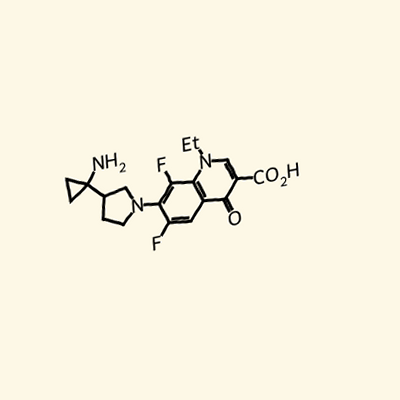 CCn1cc(C(=O)O)c(=O)c2cc(F)c(N3CCC(C4(N)CC4)C3)c(F)c21